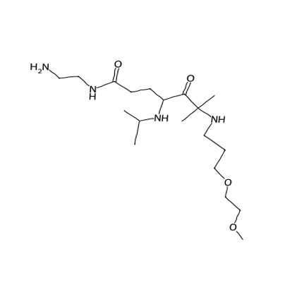 COCCOCCCNC(C)(C)C(=O)C(CCC(=O)NCCN)NC(C)C